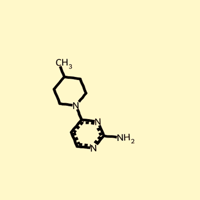 CC1CCN(c2ccnc(N)n2)CC1